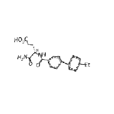 CCc1ccc(-c2ccc(C(=O)N[C@@H](CCC(=O)O)C(N)=O)cc2)cc1